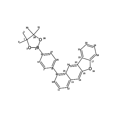 CC1(C)OB(c2ccc(-c3cccc4cc5oc6ccccc6c5cc34)cc2)OC1(C)C